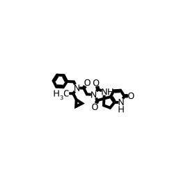 CC(C1CC1)N(Cc1ccccc1)C(=O)CN1C(=O)NC2(CCc3[nH]c(=O)ccc32)C1=O